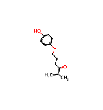 C=C(C)C(=O)CCCOc1ccc(O)cc1